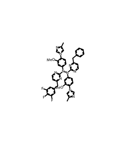 COc1cc(N(c2nccc(Cc3ccccc3)n2)N(c2ccc(-n3cnc(C)c3)c(OC)c2)c2nccc(Cc3cc(F)c(F)c(F)c3)n2)ccc1-n1cnc(C)c1